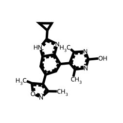 Cc1nc(O)nc(C)c1-c1cc(-c2c(C)noc2C)cc2[nH]c(C3CC3)nc12